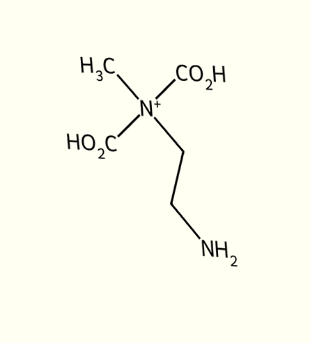 C[N+](CCN)(C(=O)O)C(=O)O